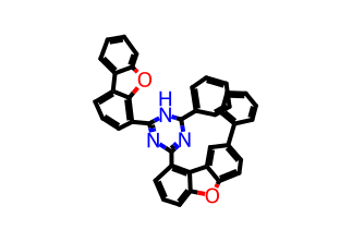 c1ccc(-c2ccc3oc4cccc(C5=NC(c6ccccc6)NC(c6cccc7c6oc6ccccc67)=N5)c4c3c2)cc1